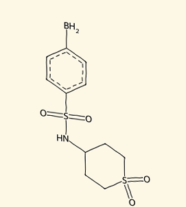 Bc1ccc(S(=O)(=O)NC2CCS(=O)(=O)CC2)cc1